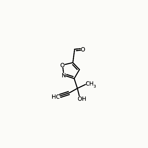 C#CC(C)(O)c1cc(C=O)on1